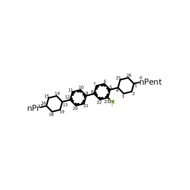 CCCCCC1CCC(c2ccc(-c3ccc(C4CCC(CCC)CC4)cc3)cc2F)CC1